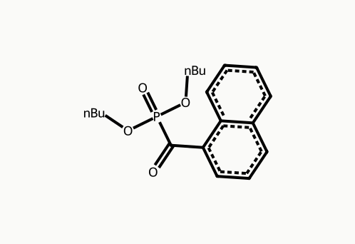 CCCCOP(=O)(OCCCC)C(=O)c1cccc2ccccc12